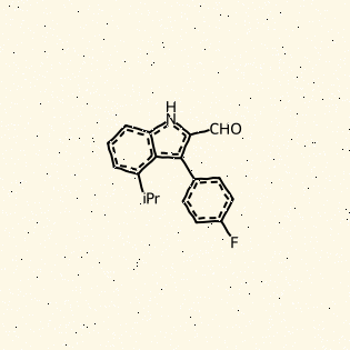 CC(C)c1cccc2[nH]c(C=O)c(-c3ccc(F)cc3)c12